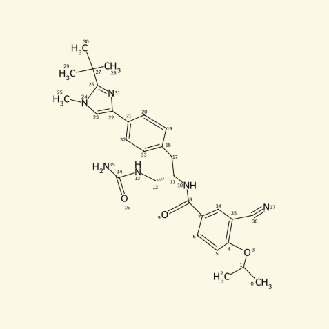 CC(C)Oc1ccc(C(=O)N[C@H](CNC(N)=O)Cc2ccc(-c3cn(C)c(C(C)(C)C)n3)cc2)cc1C#N